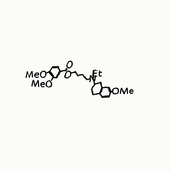 CCN(CCCCOC(=O)c1ccc(OC)c(OC)c1)C1CCc2ccc(OC)cc2C1